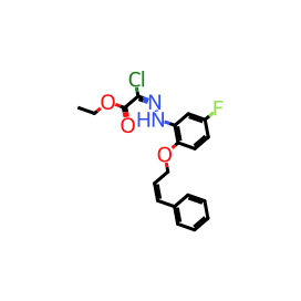 CCOC(=O)/C(Cl)=N\Nc1cc(F)ccc1OC/C=C\c1ccccc1